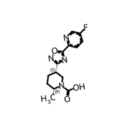 C[C@@H]1CC[C@H](c2noc(-c3ccc(F)cn3)n2)CN1C(=O)O